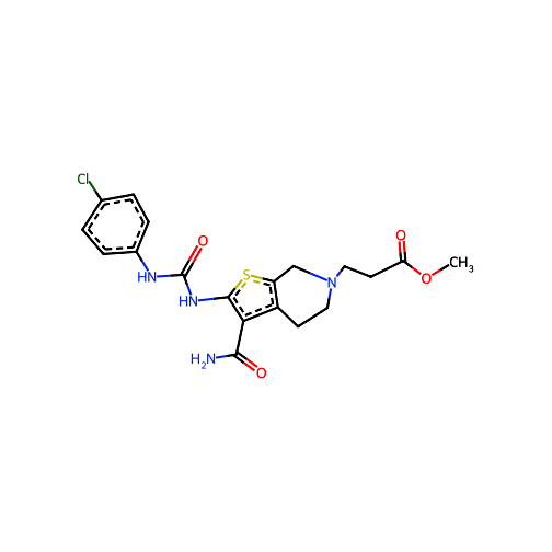 COC(=O)CCN1CCc2c(sc(NC(=O)Nc3ccc(Cl)cc3)c2C(N)=O)C1